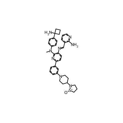 CN(c1ccc(C2(N)CCC2)cc1)c1nc(-c2cccc(N3CCC(N4CCC[S+]4[O-])CC3)c2)ccc1/N=C/c1cccnc1N